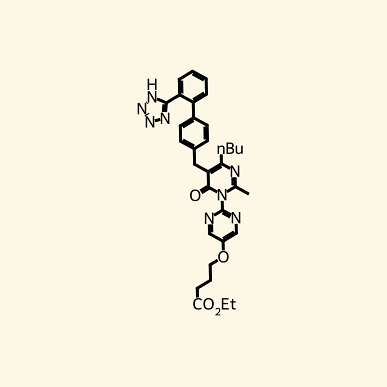 CCCCc1nc(C)n(-c2ncc(OCCCC(=O)OCC)cn2)c(=O)c1Cc1ccc(-c2ccccc2-c2nnn[nH]2)cc1